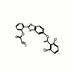 CC(Oc1ccc2nc(-c3ccccc3OC(N)=O)sc2c1)c1c(Cl)cccc1Cl